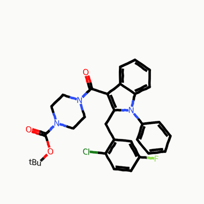 CC(C)(C)OC(=O)N1CCN(C(=O)c2c(Cc3cc(F)ccc3Cl)n(-c3ccccc3)c3ccccc23)CC1